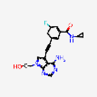 Nc1ncnc2c1c(C#CC1=CC(C(=O)NC3CC3)=CC(F)C1)cn2CCO